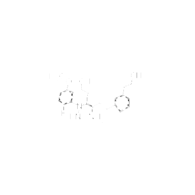 CCC/C(=C(/N)CCc1cccc(CCC)c1)N(N)c1cc(OC)ccc1F